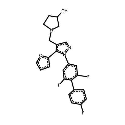 OC1CCN(Cc2cnn(-c3cc(F)c(-c4ccc(F)cc4)c(F)c3)c2-c2ccco2)C1